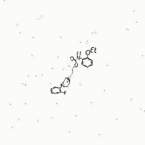 CCOc1ccccc1NC(=O)OCCN1CCN(c2ccccc2F)CC1